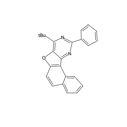 CC(C)(C)c1nc(-c2ccccc2)nc2c1oc1ccc3ccccc3c12